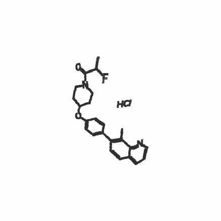 Cc1c(-c2ccc(OC3CCN(C(=O)C(C)F)CC3)cc2)ccc2cccnc12.Cl